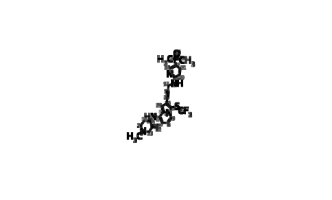 CN1CC[C@@H](Nc2cccn3c(SC(F)(F)F)c(C#CCNc4ccc(P(C)(C)=O)cn4)cc23)[C@@H](F)C1